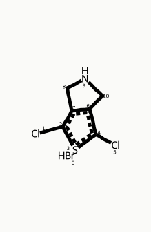 Br.Clc1sc(Cl)c2c1CNC2